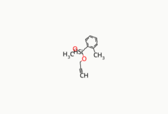 C#CCO[SiH](OC)c1ccccc1C